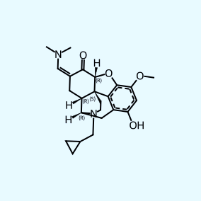 COc1cc(O)c2c3c1O[C@H]1C(=O)C(=CN(C)C)C[C@H]4[C@@H](C2)N(CC2CC2)CC[C@]314